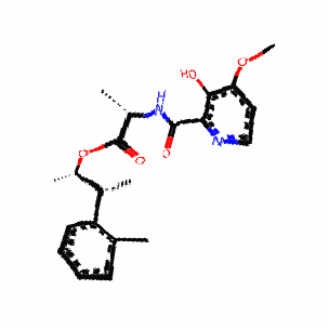 COc1ccnc(C(=O)N[C@@H](C)C(=O)O[C@@H](C)[C@H](C)c2ccccc2C)c1O